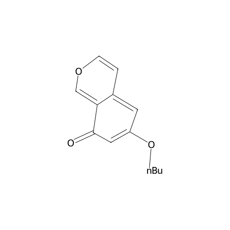 CCCCOc1cc2ccocc-2c(=O)c1